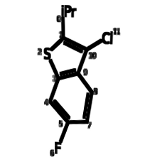 CC(C)c1sc2cc(F)ccc2c1Cl